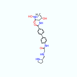 C[C@@H](O)[C@H](NC(=O)c1ccc(-c2ccc(NC(=O)CNC[C@H]3CCCN3)cc2)cc1)C(=O)NO